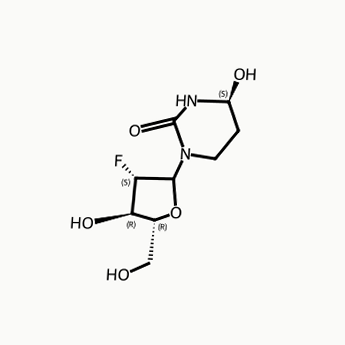 O=C1N[C@@H](O)CCN1C1O[C@H](CO)[C@@H](O)[C@@H]1F